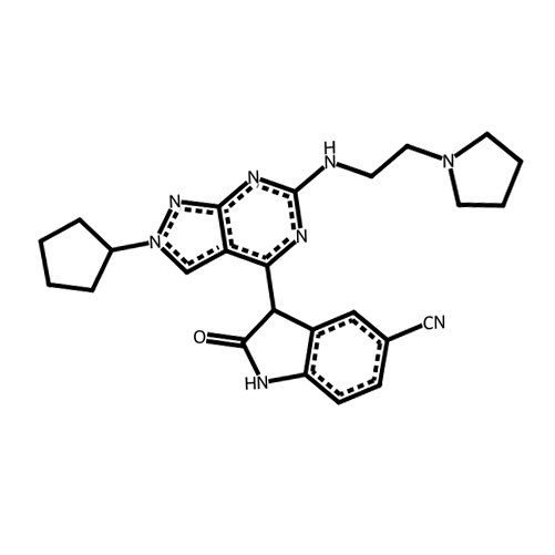 N#Cc1ccc2c(c1)C(c1nc(NCCN3CCCC3)nc3nn(C4CCCC4)cc13)C(=O)N2